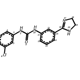 O=C(Nc1cccc(Cl)c1)Nc1cccc(C2=NCCN2)c1